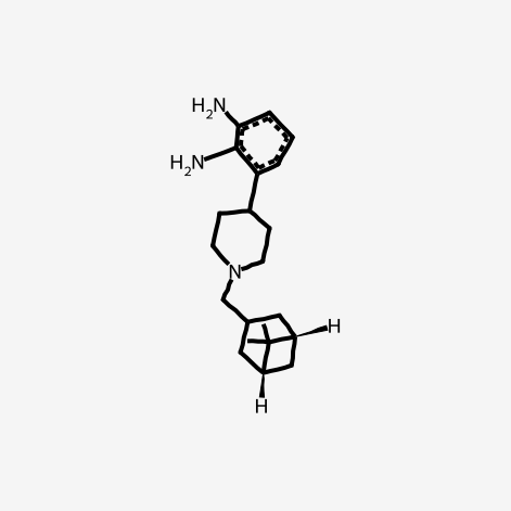 CC1(C)[C@@H]2CC(CN3CCC(c4cccc(N)c4N)CC3)C[C@H]1C2